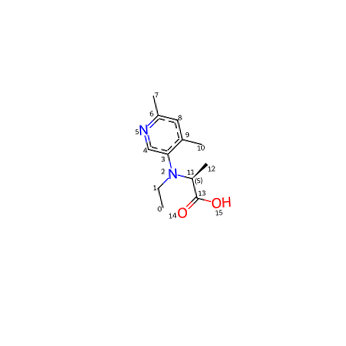 CCN(c1cnc(C)cc1C)[C@@H](C)C(=O)O